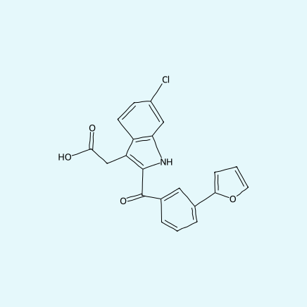 O=C(O)Cc1c(C(=O)c2cccc(-c3ccco3)c2)[nH]c2cc(Cl)ccc12